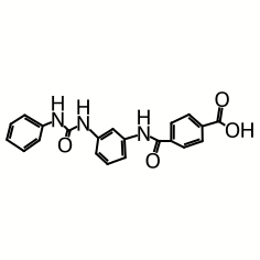 O=C(Nc1ccccc1)Nc1cccc(NC(=O)c2ccc(C(=O)O)cc2)c1